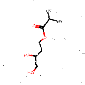 CCCC(CCC)C(=O)OCCC(O)CO